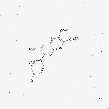 CCOC(=O)c1nc2cc(-n3ccc(=O)cc3)c([N+](=O)[O-])cc2nc1OC